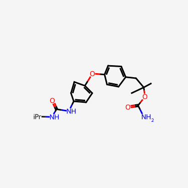 CC(C)NC(=O)Nc1ccc(Oc2ccc(CC(C)(C)OC(N)=O)cc2)cc1